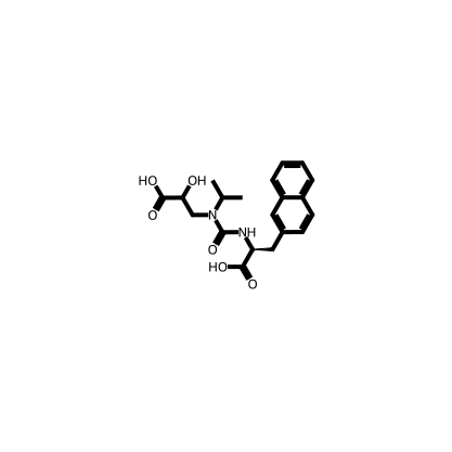 CC(C)N(CC(O)C(=O)O)C(=O)N[C@@H](Cc1ccc2ccccc2c1)C(=O)O